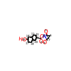 O=C(ON1C(=O)CCC1=O)c1ccc2cc(O)ccc2c1